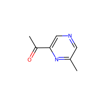 CC(=O)c1cncc(C)n1